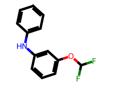 FC(F)Oc1cccc(Nc2cc[c]cc2)c1